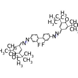 CC(C)(C)C1=CC(=C/N=N/c2ccc(-c3ccc(/N=N/C=C4C=C(C(C)(C)C)C(=O)C(C(C)(C)C)=C4)cc3F)c(F)c2)C=C(C(C)(C)C)C1=O